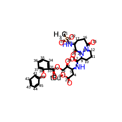 CC(C)(C)OC(=O)CC(NC(=O)C1CCCN2C(=O)CCC(NS(C)(=O)=O)C(=O)N12)C(=O)COC(=O)c1ccccc1Oc1ccccc1